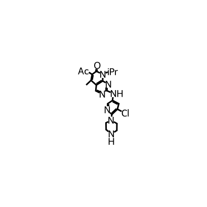 CC(=O)c1c(C)c2cnc(Nc3cnc(N4CCNCC4)c(Cl)c3)nc2n(C(C)C)c1=O